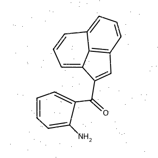 Nc1ccccc1C(=O)C1=Cc2cccc3cccc1c23